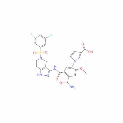 COc1cc(C(N)=O)c(C(=O)Nc2n[nH]c3c2CN(S(=O)(=O)c2cc(F)cc(F)c2)CC3)cc1-n1ccc(C(=O)O)c1